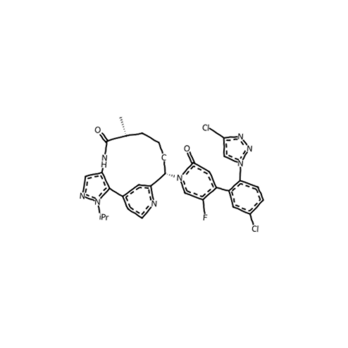 CC(C)n1ncc2c1-c1ccnc(c1)[C@@H](n1cc(F)c(-c3cc(Cl)ccc3-n3cc(Cl)nn3)cc1=O)CCC[C@@H](C)C(=O)N2